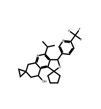 CC(C)c1nc2c(c3c1C(c1ccc(C(F)(F)F)nc1)OC31CCCC1)C(O)CC1(CC1)C2